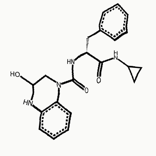 O=C(NC1CC1)[C@@H](Cc1ccccc1)NC(=O)N1CC(O)Nc2ccccc21